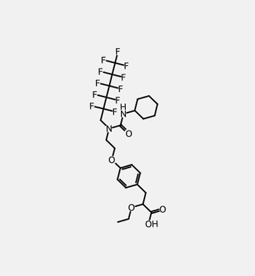 CCOC(Cc1ccc(OCCN(CC(F)(F)C(F)(F)C(F)(F)C(F)(F)C(F)(F)F)C(=O)NC2CCCCC2)cc1)C(=O)O